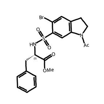 COC(=O)[C@H](Cc1ccccc1)NS(=O)(=O)c1cc2c(cc1Br)CCN2C(C)=O